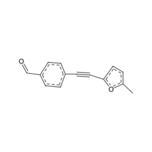 Cc1ccc(C#Cc2ccc(C=O)cc2)o1